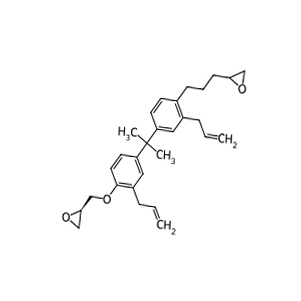 C=CCc1cc(C(C)(C)c2ccc(OC[C@H]3CO3)c(CC=C)c2)ccc1CCCC1CO1